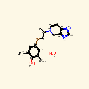 CC(CSc1cc(C(C)(C)C)c(O)c(C(C)(C)C)c1)N1C=Cc2[nH]cnc2C1.O